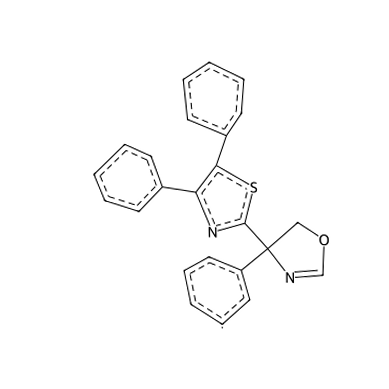 [c]1cccc(C2(c3nc(-c4ccccc4)c(-c4ccccc4)s3)COC=N2)c1